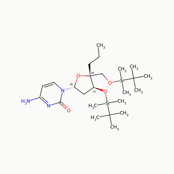 CCC[C@]1(CO[Si](C)(C)C(C)(C)C)O[C@@H](n2ccc(N)nc2=O)C[C@@H]1O[Si](C)(C)C(C)(C)C